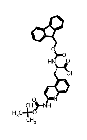 CC(C)(C)OC(=O)Nc1ccc2c(C[C@@H](NC(=O)OCC3c4ccccc4-c4ccccc43)C(=O)O)cccc2n1